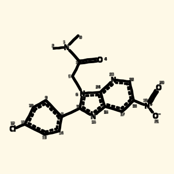 CN(C)C(=O)Cn1c(-c2ccc(Cl)cc2)nc2cc([N+](=O)[O-])cnc21